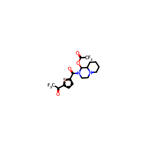 O=C(c1ccc(C(=O)C(F)(F)F)s1)N1CCN2CCCCC2C1OC(=O)C(F)(F)F